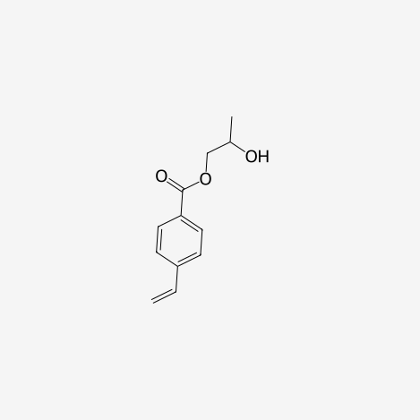 C=Cc1ccc(C(=O)OCC(C)O)cc1